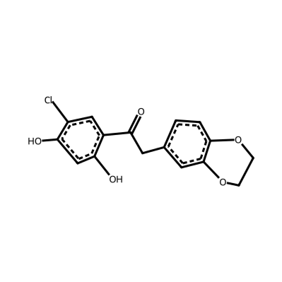 O=C(Cc1ccc2c(c1)OCCO2)c1cc(Cl)c(O)cc1O